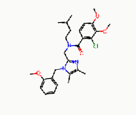 COc1ccccc1Cn1c(CN(CCC(C)C)C(=O)c2ccc(OC)c(OC)c2Cl)nc(C)c1C